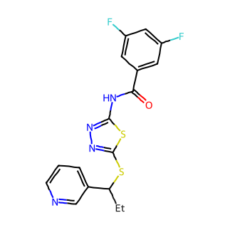 CCC(Sc1nnc(NC(=O)c2cc(F)cc(F)c2)s1)c1cccnc1